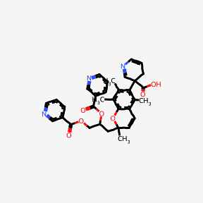 Cc1c(C)c(C2(C(=O)O)C=NC=CC2)c(C)c2c1OC(C)(CC(COC(=O)c1cccnc1)OC(=O)c1cccnc1)C=C2